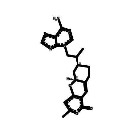 Cc1cc2c(c(=O)o1)C=C1CC[C@H](C(C)Cn3cnc(N)c4ncnc3-4)C[C@@H]1O2